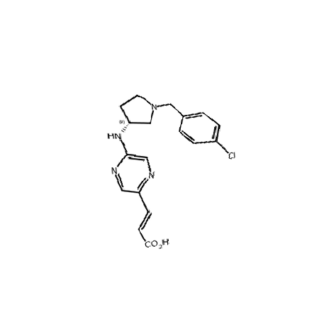 O=C(O)C=Cc1cnc(N[C@@H]2CCN(Cc3ccc(Cl)cc3)C2)cn1